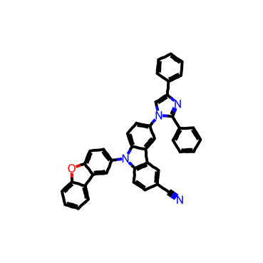 N#Cc1ccc2c(c1)c1cc(-n3cc(-c4ccccc4)nc3-c3ccccc3)ccc1n2-c1ccc2oc3ccccc3c2c1